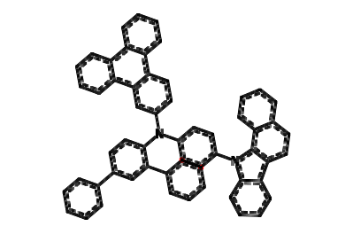 c1ccc(-c2ccc(N(c3ccc(-n4c5ccccc5c5ccc6ccccc6c54)cc3)c3ccc4c5ccccc5c5ccccc5c4c3)c(-c3ccccc3)c2)cc1